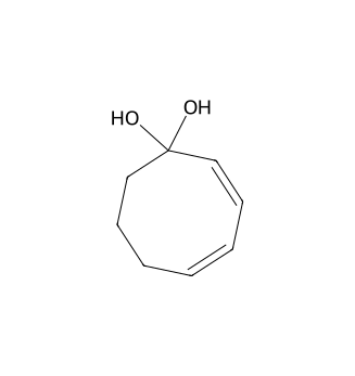 OC1(O)C=CC=CCCC1